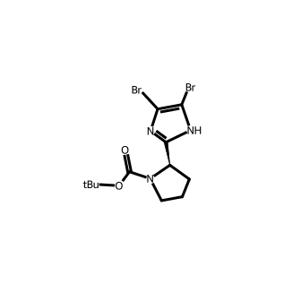 CC(C)(C)OC(=O)N1CCC[C@@H]1c1nc(Br)c(Br)[nH]1